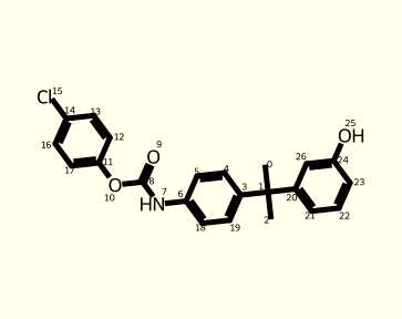 CC(C)(c1ccc(NC(=O)Oc2ccc(Cl)cc2)cc1)c1cccc(O)c1